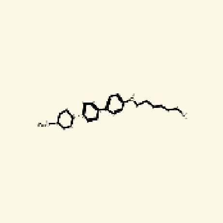 CCCCC[C@H]1CC[C@H](c2ccc(-c3ccc(OCCCCCCBr)cc3)cc2)CC1